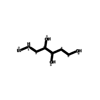 CCNCC(O)C(O)C[CH]O